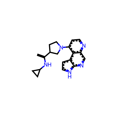 C=C(NC1CC1)C1CCN(c2ccnc3cnc4[nH]ccc4c23)C1